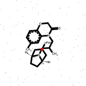 CCCCCC1C[C@H]2CC[C@@H](C1)N2CC(C)CN1C(=O)COc2ccc(C)cc21